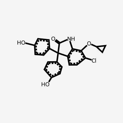 O=C1Nc2c(ccc(Cl)c2OC2CC2)C1(c1ccc(O)cc1)c1ccc(O)cc1